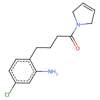 Nc1cc(Cl)ccc1CCCC(=O)N1CC=CC1